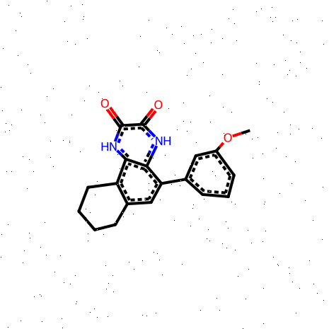 COc1cccc(-c2cc3c(c4[nH]c(=O)c(=O)[nH]c24)CCCC3)c1